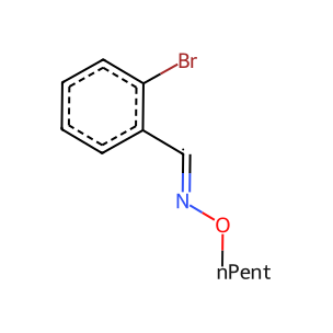 CCCCCO/N=[C]/c1ccccc1Br